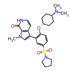 Cn1cc(-c2cc(S(=O)(=O)N3CCCC3)ccc2O[C@H]2CC[C@H](N(C)C)CC2)c2cc[nH]c(=O)c21